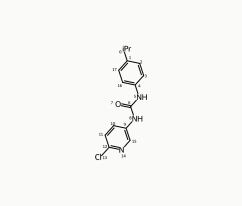 CC(C)c1ccc(NC(=O)Nc2ccc(Cl)nc2)cc1